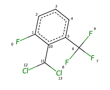 Fc1cccc(C(F)(F)F)c1C(Cl)Cl